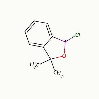 CC1(C)OI(Cl)c2ccccc21